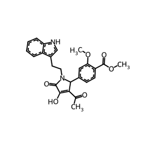 COC(=O)c1ccc(C2C(C(C)=O)=C(O)C(=O)N2CCc2c[nH]c3ccccc23)cc1OC